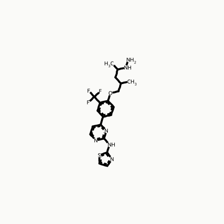 CC(COc1ccc(-c2ccnc(Nc3nccs3)n2)cc1C(F)(F)F)CC(C)NN